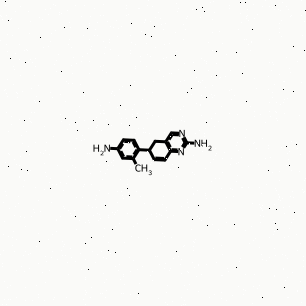 Cc1cc(N)ccc1C1C=Cc2nc(N)ncc2C1